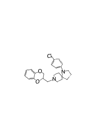 Clc1ccc(N2CCCC23CCN(CC2COc4ccccc4O2)CC3)cc1